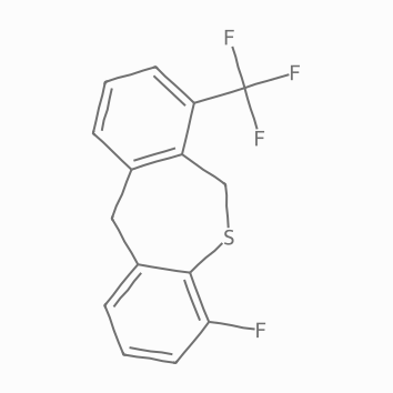 Fc1cccc2c1SCc1c(cccc1C(F)(F)F)C2